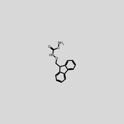 NOC(=O)NOCC1c2ccccc2-c2ccccc21